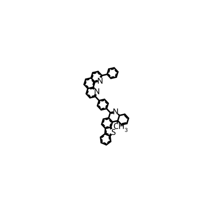 CC12C=CC=CC1N=C(c1ccc(-c3ccc4ccc5ccc(-c6ccccc6)nc5c4n3)cc1)c1ccc3c(sc4ccccc43)c12